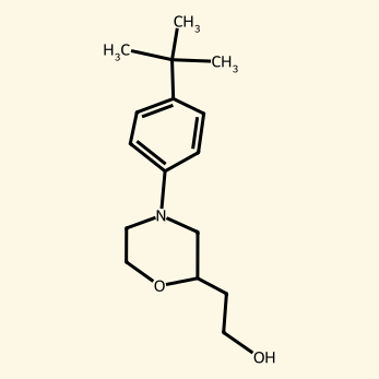 CC(C)(C)c1ccc(N2CCOC(CCO)C2)cc1